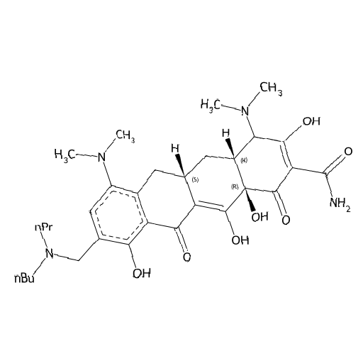 CCCCN(CCC)Cc1cc(N(C)C)c2c(c1O)C(=O)C1=C(O)[C@@]3(O)C(=O)C(C(N)=O)=C(O)C(N(C)C)[C@H]3C[C@H]1C2